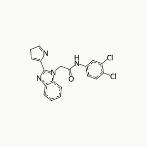 O=C(Cn1c(C2=CCC=N2)nc2ccccc21)Nc1ccc(Cl)c(Cl)c1